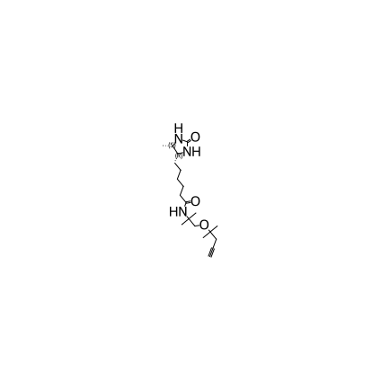 C#CCC(C)(C)OCC(C)(C)NC(=O)CCCCC[C@H]1NC(=O)N[C@H]1C